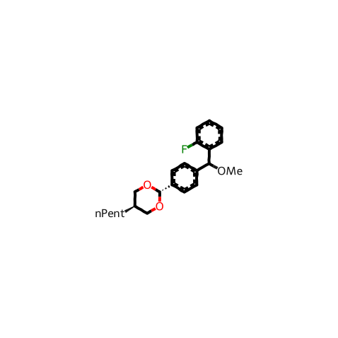 CCCCC[C@H]1CO[C@H](c2ccc(C(OC)c3ccccc3F)cc2)OC1